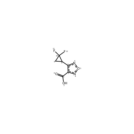 O=C(O)c1nonc1C1CC1(F)F